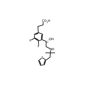 CC(C)(Cc1cccs1)NC[C@@H](O)c1cc(CCC(=O)O)cc(F)c1F